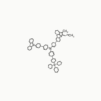 C=C/C=c1\c(=C)c2cccc3c4cc(-c5ccc(N(c6ccc(-c7ccc(-n8c9ccccc9c9ccccc98)cc7)cc6)c6ccc(-c7ccc([Si](c8ccccc8)(c8ccccc8)c8ccccc8)cc7)cc6)cc5)ccc4n1c23